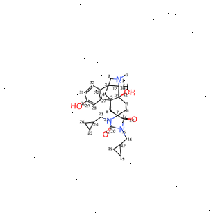 CN1CC23C[C@@]4(C[C@@]5(CC[C@@]4(O)[C@H]12)C(=O)N(CC1CC1)C(=O)N5CC1CC1)c1cc(O)ccc13